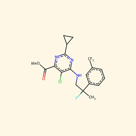 COC(=O)c1nc(C2CC2)nc(NCC(C)(F)c2cccc(C(F)(F)F)c2)c1Cl